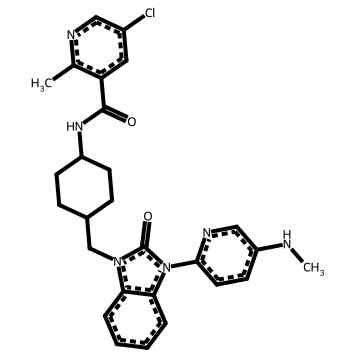 CNc1ccc(-n2c(=O)n(CC3CCC(NC(=O)c4cc(Cl)cnc4C)CC3)c3ccccc32)nc1